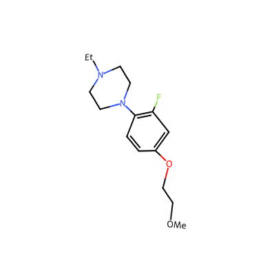 [CH2]CN1CCN(c2ccc(OCCOC)cc2F)CC1